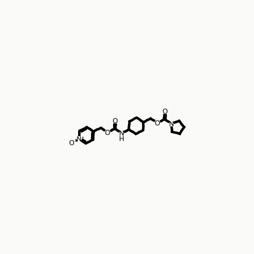 O=C(NC1CCC(COC(=O)N2CCCC2)CC1)OCc1cc[n+]([O-])cc1